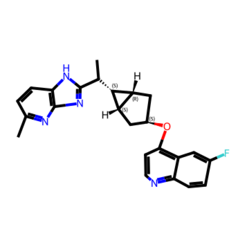 Cc1ccc2[nH]c(C(C)[C@@H]3[C@@H]4C[C@@H](Oc5ccnc6ccc(F)cc56)C[C@@H]43)nc2n1